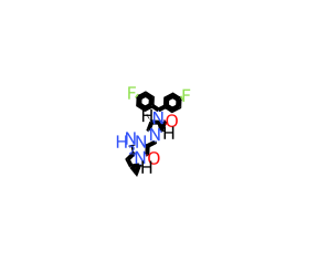 N#C[C@@H]1CC2C[C@@H]2N1C(=O)[C@@H](N)CN1C[C@@H]2C[C@H]1C(=O)N2C(c1ccc(F)cc1)c1ccc(F)cc1